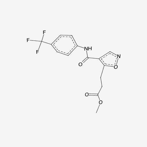 COC(=O)CCc1oncc1C(=O)Nc1ccc(C(F)(F)F)cc1